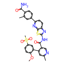 COc1ccc(S(C)(=O)=O)cc1-c1cc(C)ncc1C(=O)Nc1nc2ccc(-c3ccc(C(N)=O)c(C)c3)nc2s1